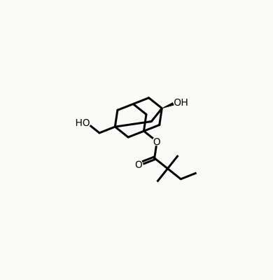 CCC(C)(C)C(=O)OC12CC3CC(CO)(C1)C[C@](O)(C3)C2